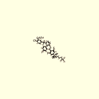 COc1cc(C(C)(C)c2nnc(SCc3c(F)cc(S(=O)(=O)NCCC[N+](C)(C)C)cc3F)n2-c2ccc(F)cc2)ccc1Cl